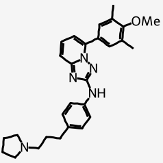 COc1c(C)cc(-c2cccc3nc(Nc4ccc(CCCN5CCCC5)cc4)nn23)cc1C